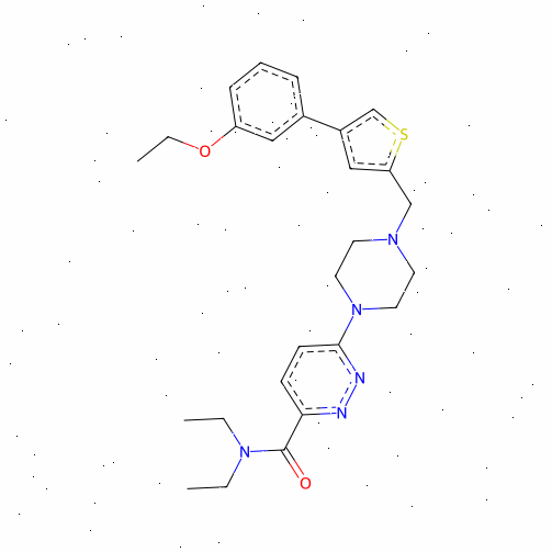 CCOc1cccc(-c2csc(CN3CCN(c4ccc(C(=O)N(CC)CC)nn4)CC3)c2)c1